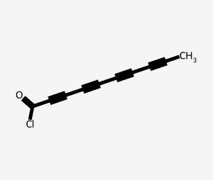 CC#CC#CC#CC#CC(=O)Cl